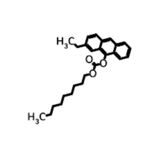 CCCCCCCCCOC(=O)Oc1c2ccccc2cc2ccc(CC)cc12